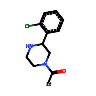 CCC(=O)N1CCNC(c2ccccc2Cl)C1